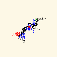 COC(F)CCc1cccc2c(C)c(C3CCCN(C(=O)C[C@H](N)Cc4ccc(-c5ccc(NC(C)(CO)CO)nc5)cc4)C3)[nH]c12